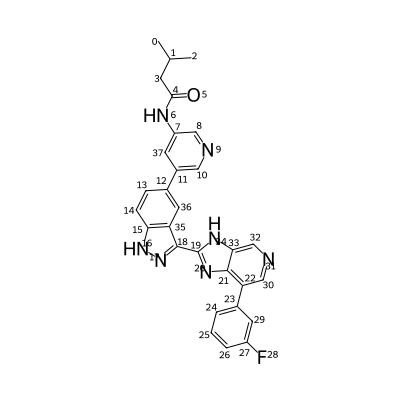 CC(C)CC(=O)Nc1cncc(-c2ccc3[nH]nc(-c4nc5c(-c6cccc(F)c6)cncc5[nH]4)c3c2)c1